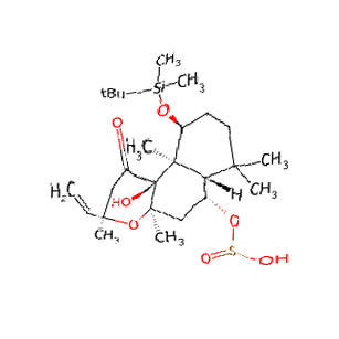 C=C[C@@]1(C)CC(=O)[C@]2(O)[C@@]3(C)[C@@H](O[Si](C)(C)C(C)(C)C)CCC(C)(C)[C@@H]3[C@H](OS(=O)O)C[C@@]2(C)O1